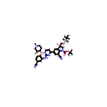 CN1CCC(Oc2ccc(C#N)cc2Nc2nccc(-c3cc(C#N)c4c(c3)[C@@](C)(CO[Si](C)(C)C(C)(C)C)CN4C(=O)OC(C)(C)C)n2)C(F)C1